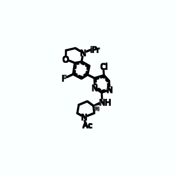 CC(=O)N1CCC[C@@H](Nc2ncc(Cl)c(-c3cc(F)c4c(c3)N(C(C)C)CCO4)n2)C1